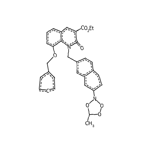 CCOC(=O)c1cc2cccc(OCc3ccccc3)c2n(Cc2ccc3ccc(N4OOC(C)O4)cc3c2)c1=O